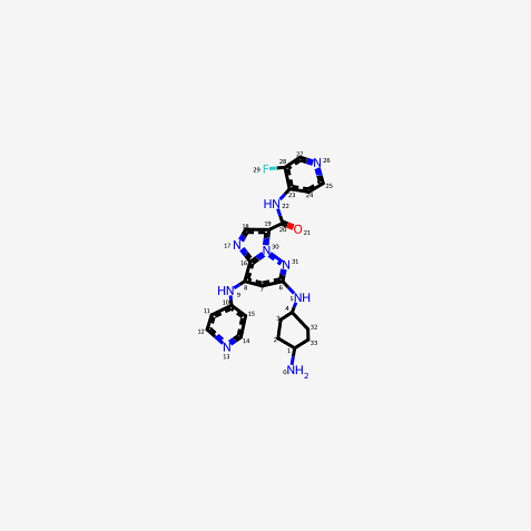 NC1CCC(Nc2cc(Nc3ccncc3)c3ncc(C(=O)Nc4ccncc4F)n3n2)CC1